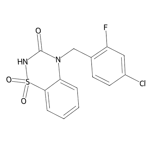 O=C1NS(=O)(=O)c2ccccc2N1Cc1ccc(Cl)cc1F